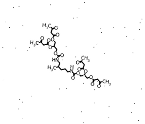 CC(=O)CC(=O)OCC(COC(=O)NCCCC(C)CNC(=O)OCC(COC(=O)CC(C)=O)OC(=O)CC(C)=O)OC(=O)CC(C)=O